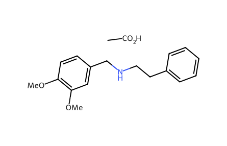 CC(=O)O.COc1ccc(CNCCc2ccccc2)cc1OC